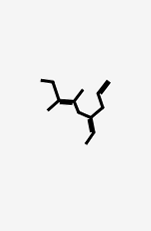 C=CC/C(=C/C)C/C(C)=C(\C)CC